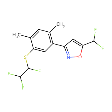 Cc1cc(C)c(-c2cc(C(F)F)on2)cc1SC(F)C(F)F